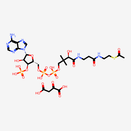 CC(=O)SCCNC(=O)CCNC(=O)[C@H](O)C(C)(C)COP(=O)(O)OP(=O)(O)OC[C@H]1O[C@@H](n2cnc3c(N)ncnc32)[C@H](O)[C@@H]1OP(=O)(O)O.O=C(O)CC(=O)C(=O)O